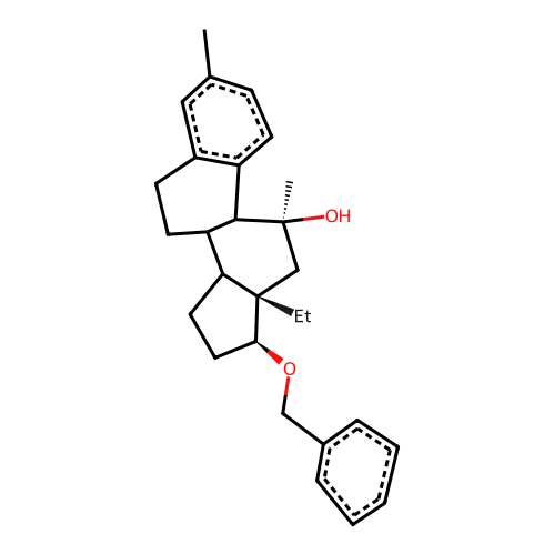 CC[C@]12C[C@](C)(O)C3c4ccc(C)cc4CCC3C1CC[C@@H]2OCc1ccccc1